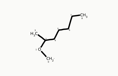 [CH2]OC(C)CCCCC